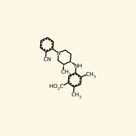 Cc1cc(C)c(C(=O)O)cc1N[C@@H]1CCN(c2ccccc2C#N)C[C@@H]1C